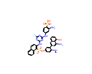 CNc1ccccc1-c1cc(N)c2c(O)cccc2c1.Nc1cc(Nc2nc(F)nc(Nc3ccc4ccccc4c3S(=O)(=O)O)n2)ccc1S(=O)(=O)O